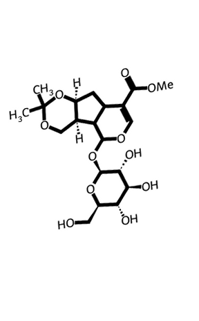 COC(=O)C1=COC(O[C@@H]2O[C@H](CO)[C@@H](O)[C@H](O)[C@H]2O)C2C1C[C@@H]1OC(C)(C)OC[C@H]21